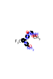 CS(=O)(=O)Nc1ccn(C(=O)N2CCN(Cc3ccc(C(F)(F)F)cc3N3CCC(C(N)=O)CC3)CC2)n1